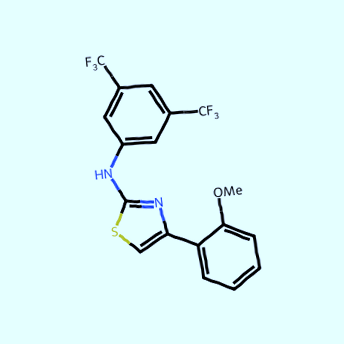 COc1ccccc1-c1csc(Nc2cc(C(F)(F)F)cc(C(F)(F)F)c2)n1